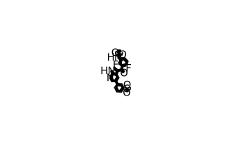 CS(=O)(=O)Nc1ccc(F)c(C(=O)c2c[nH]c3ncc(-c4cccc(S(C)(=O)=O)c4)cc23)c1F